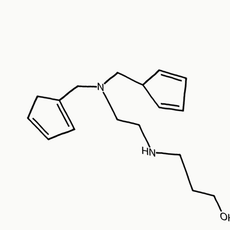 OCCCNCCN(CC1=CC=CC1)CC1C=CC=C1